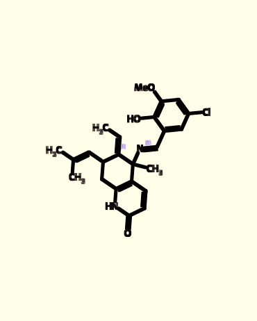 C/C=C1\C(C=C(C)C)Cc2[nH]c(=O)ccc2C1(C)/N=C/c1cc(Cl)cc(OC)c1O